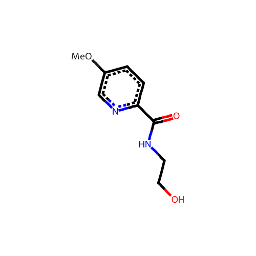 COc1ccc(C(=O)NCCO)nc1